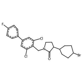 O=C1C(C2CCC(Br)CC2)CCN1Cc1c(Cl)cc(-c2ccc(F)cc2)cc1Cl